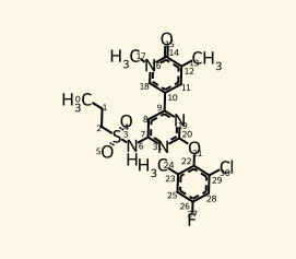 CCCS(=O)(=O)Nc1cc(-c2cc(C)c(=O)n(C)c2)nc(Oc2c(C)cc(F)cc2Cl)n1